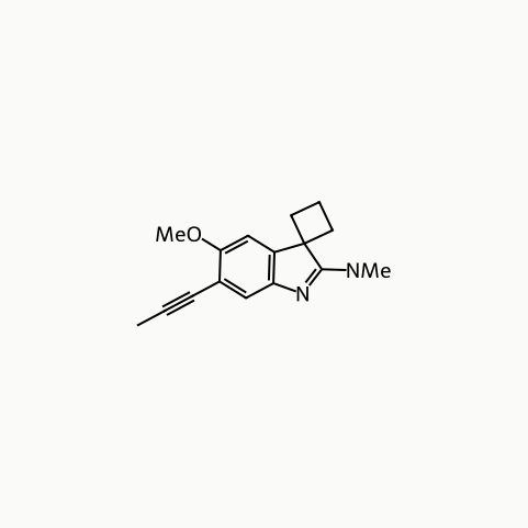 CC#Cc1cc2c(cc1OC)C1(CCC1)C(NC)=N2